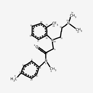 Cc1ccc(N(C)C(=O)CN(CCN(C)C)c2ccccc2C(F)(F)F)cc1